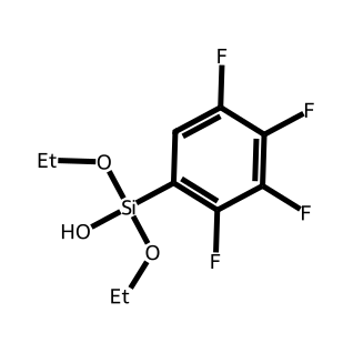 CCO[Si](O)(OCC)c1cc(F)c(F)c(F)c1F